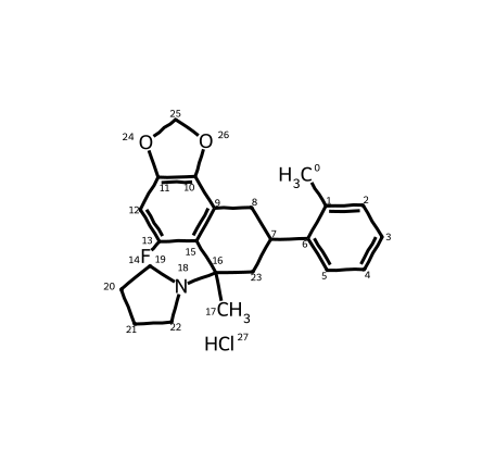 Cc1ccccc1C1Cc2c3c(cc(F)c2C(C)(N2CCCC2)C1)OCO3.Cl